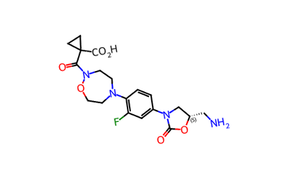 NC[C@H]1CN(c2ccc(N3CCON(C(=O)C4(C(=O)O)CC4)CC3)c(F)c2)C(=O)O1